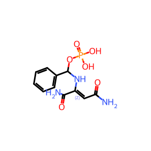 NC(=O)/C=C(\NC(OP(=O)(O)O)c1ccccc1)C(N)=O